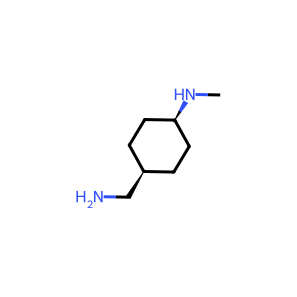 CN[C@H]1CC[C@@H](CN)CC1